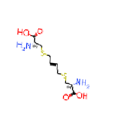 N[C@@H](CSCC=CCSC[C@H](N)C(=O)O)C(=O)O